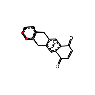 O=C1C=CC(=O)c2c1c1ccc2c2c1C1c3ccccc3C2c2ccccc21